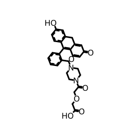 O=C1C=CC2=C(c3ccccc3C(=O)N3CCN(C(=O)COCC(=O)O)CC3)c3ccc(O)cc3CC2=C1